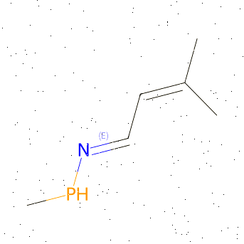 CP/N=C/C=C(C)C